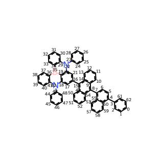 c1ccc(-c2ccc(-c3c4ccccc4c(-c4cc5c6c(c4)N(c4ccccc4)c4ccccc4B6c4ccccc4N5c4ccccc4)c4ccccc34)c3ccccc23)cc1